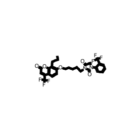 CCCc1c(OCCCCCN2C(=O)CN(c3ccccc3C(F)(F)F)C2=O)ccc2c(C(F)(F)F)cc(=O)oc12